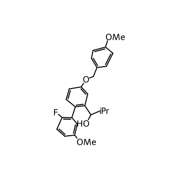 COc1ccc(COc2ccc(-c3cc(OC)ccc3F)c(C(O)C(C)C)c2)cc1